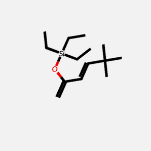 C=C(C=CC(C)(C)C)O[Si](CC)(CC)CC